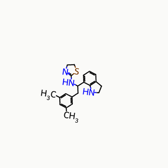 Cc1cc(C)cc(CC(NC2=NCCS2)c2cccc3c2NCC3)c1